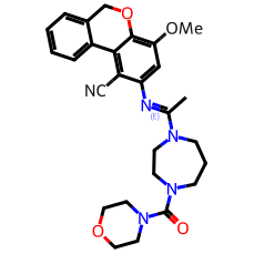 COc1cc(/N=C(\C)N2CCCN(C(=O)N3CCOCC3)CC2)c(C#N)c2c1OCc1ccccc1-2